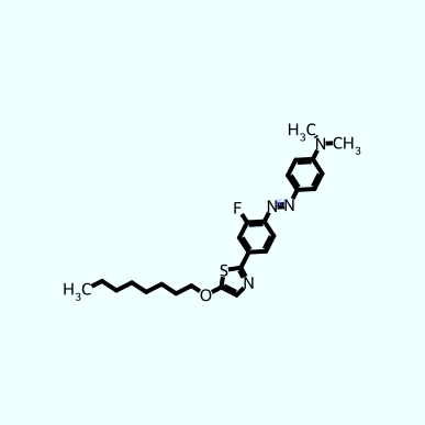 CCCCCCCCOc1cnc(-c2ccc(/N=N/c3ccc(N(C)C)cc3)c(F)c2)s1